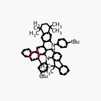 CC(C)(C)c1ccc(Nc2cc3c(cc2-c2cc(-c4ccccc4)cc4c2Cc2ccc5c(c2N4c2ccc(C(C)(C)C)cc2-c2ccccc2)C(C)(C)c2ccccc2-5)C(C)(C)CCC3(C)C)cc1